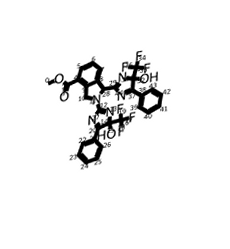 COC(=O)c1cccc2c1CN(C1=NC(O)(C(F)(F)F)C(c3ccccc3)=N1)C2C1=NC(O)(C(F)(F)F)C(c2ccccc2)=N1